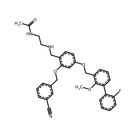 COc1c(COc2ccc(CNCCNC(C)=O)c(OCc3cccc(C#N)c3)c2)cccc1-c1ccccc1F